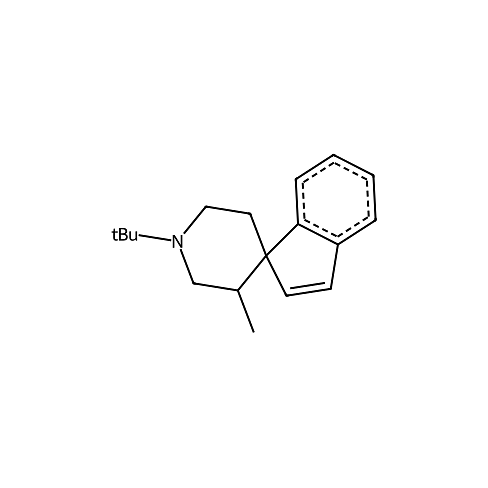 CC1CN(C(C)(C)C)CCC12C=Cc1ccccc12